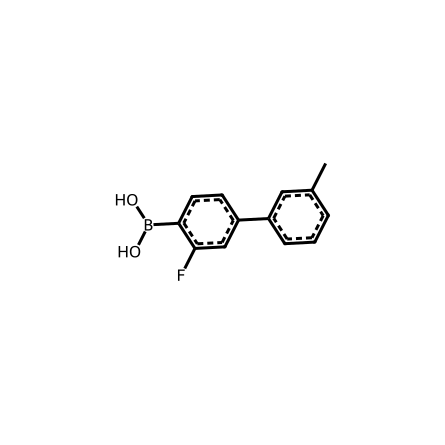 Cc1cccc(-c2ccc(B(O)O)c(F)c2)c1